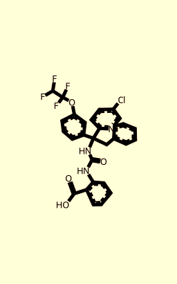 O=C(Nc1ccccc1C(=O)O)NC(Cc1ccccc1)(c1cccc(OC(F)(F)C(F)F)c1)c1ccc(Cl)cn1